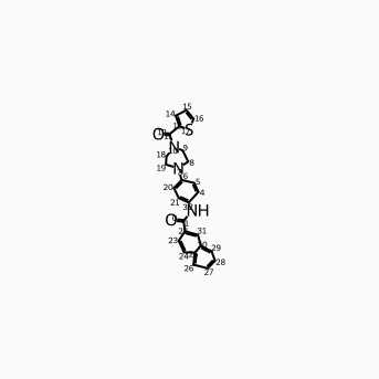 O=C(Nc1ccc(N2CCN(C(=O)c3cccs3)CC2)cc1)c1ccc2ccccc2c1